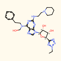 CCn1nnc([C@H]2O[C@@H](n3cnc4c(N(CO)CCc5ccccc5)nc(NCCN5CCCCC5)nc43)[C@H](O)[C@@H]2O)n1